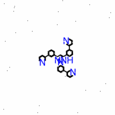 C1=C(c2cccc(-c3cccnc3)c2)NN(c2cccc(-c3cccnc3)c2)N=C1c1cccc(-c2cccnc2)c1